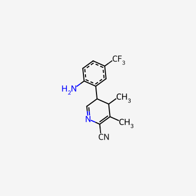 CC1=C(C#N)N=CC(c2cc(C(F)(F)F)ccc2N)C1C